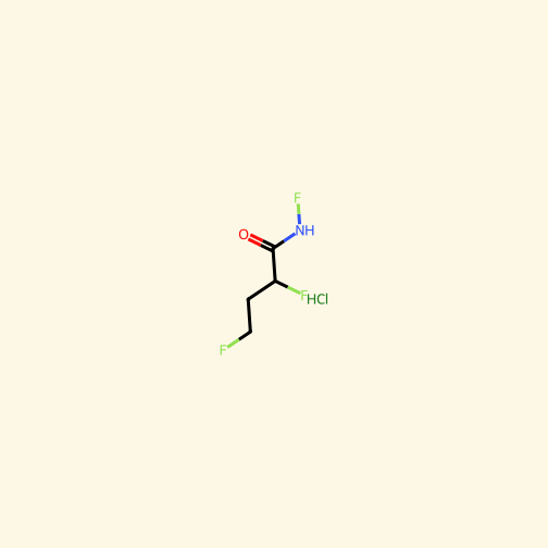 Cl.O=C(NF)C(F)CCF